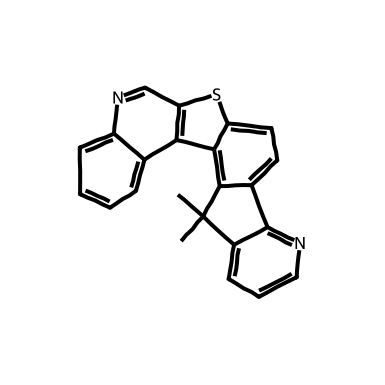 CC1(C)c2cccnc2-c2ccc3sc4cnc5ccccc5c4c3c21